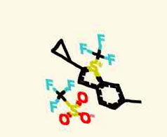 Cc1ccc2cc(C3CC3)[s+](C(F)(F)F)c2c1.O=S(=O)([O-])C(F)(F)F